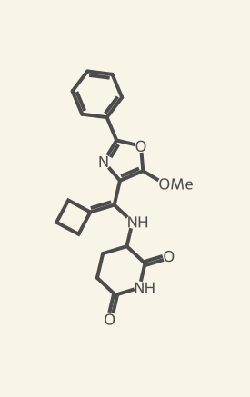 COc1oc(-c2ccccc2)nc1C(NC1CCC(=O)NC1=O)=C1CCC1